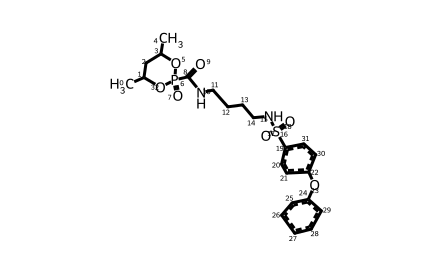 CC1CC(C)OP(=O)(C(=O)NCCCCNS(=O)(=O)c2ccc(Oc3ccccc3)cc2)O1